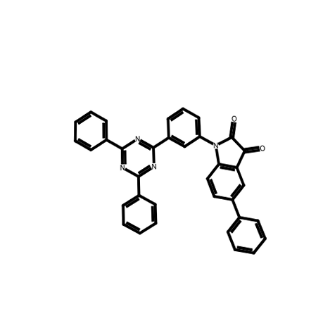 O=C1C(=O)N(c2cccc(-c3nc(-c4ccccc4)nc(-c4ccccc4)n3)c2)c2ccc(-c3ccccc3)cc21